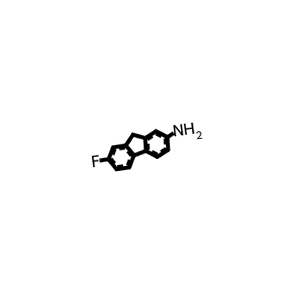 Nc1ccc2c(c1)Cc1cc(F)ccc1-2